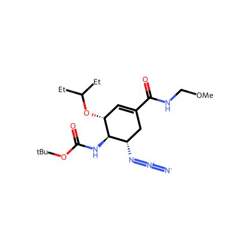 CCC(CC)O[C@@H]1C=C(C(=O)NCOC)C[C@H](N=[N+]=[N-])[C@H]1NC(=O)OC(C)(C)C